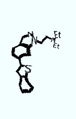 CCN(CC)CCn1ncc2ccc(-c3cc4ccccc4s3)cc21